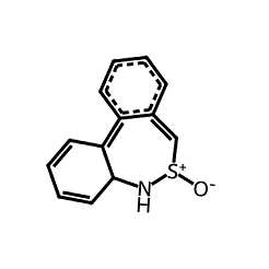 [O-][S+]1C=c2ccccc2=C2C=CC=CC2N1